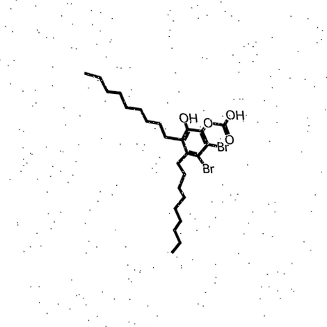 CCCCCCCCCc1c(O)c(OC(=O)O)c(Br)c(Br)c1CCCCCCCCC